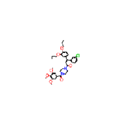 CCCOc1ccc(C(=CC(=O)N2CCN(C(=O)c3cc(OC)c(OC)c(OC)c3)CC2)c2cccc(Cl)c2)cc1OCCC